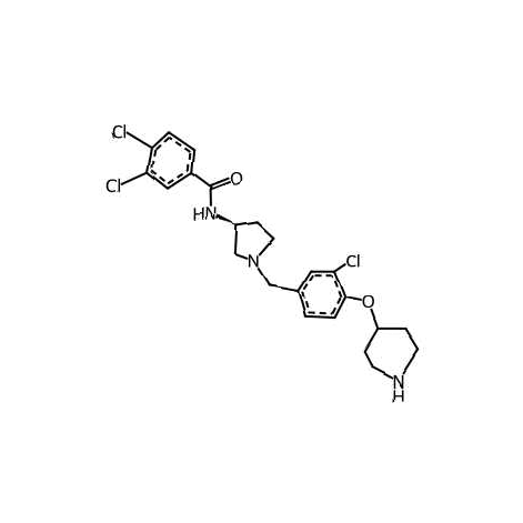 O=C(N[C@H]1CCN(Cc2ccc(OC3CCNCC3)c(Cl)c2)C1)c1ccc(Cl)c(Cl)c1